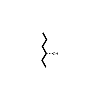 CCC[C@H](O)CC